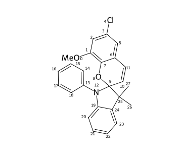 COc1cc(Cl)cc2c1OC1(C=C2)N(c2ccccc2)c2ccccc2C1(C)C